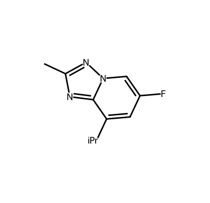 Cc1nc2c(C(C)C)cc(F)cn2n1